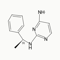 C[C@H](Nc1nccc([NH])n1)c1ccccc1